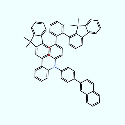 CC1(C)c2ccccc2-c2ccc(-c3ccccc3N(c3ccc(-c4ccc5ccccc5c4)cc3)c3ccc(-c4ccccc4-c4cccc5c4C(C)(C)c4ccccc4-5)cc3)cc21